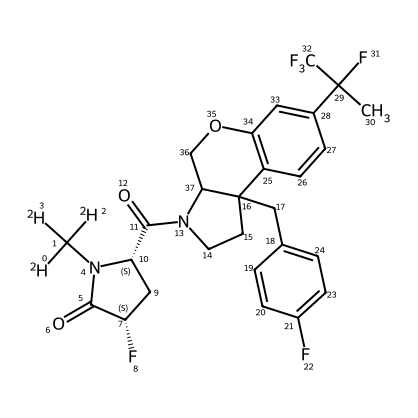 [2H]C([2H])([2H])N1C(=O)[C@@H](F)C[C@H]1C(=O)N1CCC2(Cc3ccc(F)cc3)c3ccc(C(C)(F)C(F)(F)F)cc3OCC12